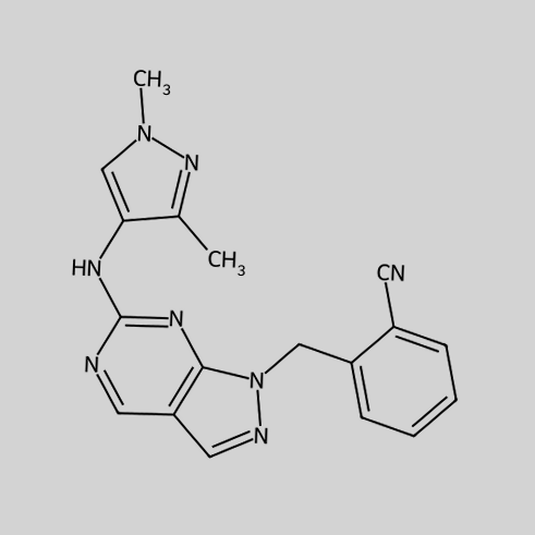 Cc1nn(C)cc1Nc1ncc2cnn(Cc3ccccc3C#N)c2n1